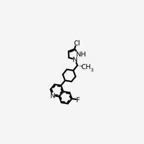 C[C@H](C1CCC(c2ccnc3ccc(F)cc23)CC1)N1CC=C(Cl)N1